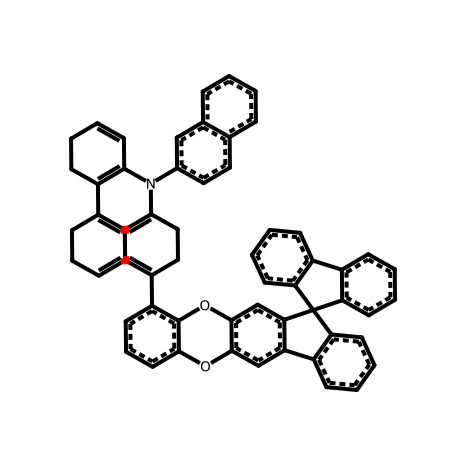 C1=CCCC(C2=C(N(C3=CC=C(c4cccc5c4Oc4cc6c(cc4O5)-c4ccccc4C64c5ccccc5-c5ccccc54)CC3)c3ccc4ccccc4c3)C=CCC2)=C1